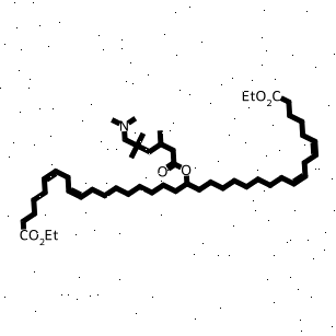 CCOC(=O)CCCC/C=C\C/C=C\CCCCCCCCC(CCCCCCCC/C=C\C/C=C\CCCCC(=O)OCC)OC(=O)CC(C)CC(C)(C)CN(C)C